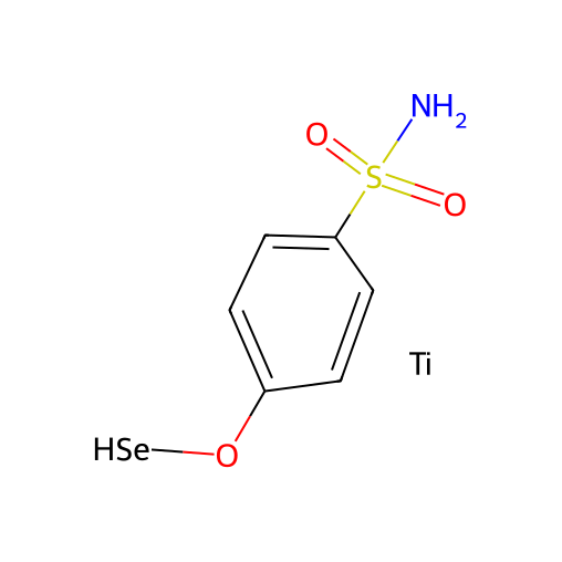 NS(=O)(=O)c1ccc(O[SeH])cc1.[Ti]